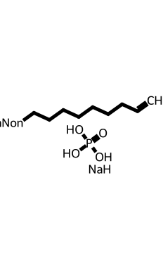 C=CCCCCCCCCCCCCCCCC.O=P(O)(O)O.[NaH]